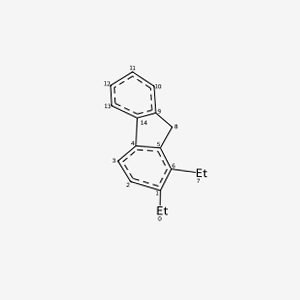 CCc1ccc2c(c1CC)Cc1ccccc1-2